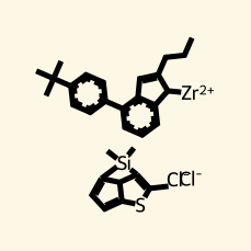 CC1=C2C3C(=CC=C3[Si]2(C)C)S1.CCCC1=Cc2c(-c3ccc(C(C)(C)C)cc3)cccc2[CH]1[Zr+2].[Cl-].[Cl-]